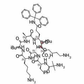 CC[C@H](C)[C@H](NC(=O)[C@H](CCCCN)NC(=O)[C@H](CC(=O)OC(C)(C)C)NC(=O)[C@H](CC(C)C)NC(=O)C(C)(C)N)C(=O)N[C@@H](C)C(=O)N[C@@H](CCC(=O)NC(c1ccccc1)(c1ccccc1)c1ccccc1)C(=O)N[C@@H](CCCCN)C(=O)O